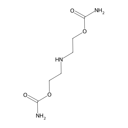 NC(=O)OCCNCCOC(N)=O